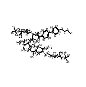 CCCCc1ccc(-c2ccc(C(=O)N[C@@H](CCNC(=O)OC(C)(C)C)C(=O)N[C@H](C(=O)N[C@@H](C)C(=O)N[C@@H](CCCCNC(=O)OC(C)(C)C)C(=O)O)[C@@H](C)O)cc2)cc1